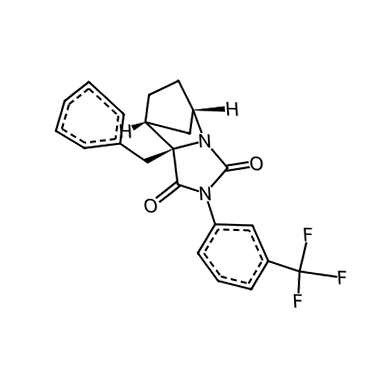 O=C1N(c2cccc(C(F)(F)F)c2)C(=O)[C@]2(Cc3ccccc3)[C@@H]3CC[C@@H](C3)N12